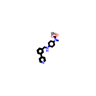 CN(C(=O)OC(C)(C)C)C1CCC(NCc2cccc(-c3ccncc3)c2)CC1